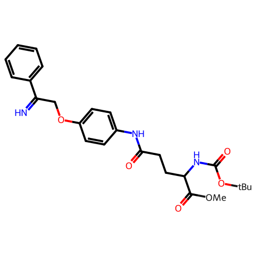 COC(=O)C(CCC(=O)Nc1ccc(OCC(=N)c2ccccc2)cc1)NC(=O)OC(C)(C)C